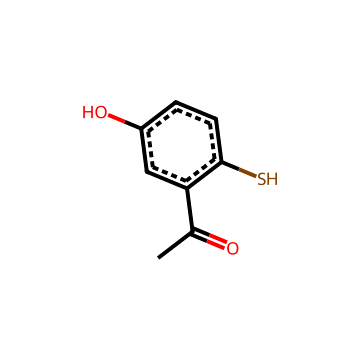 CC(=O)c1cc(O)ccc1S